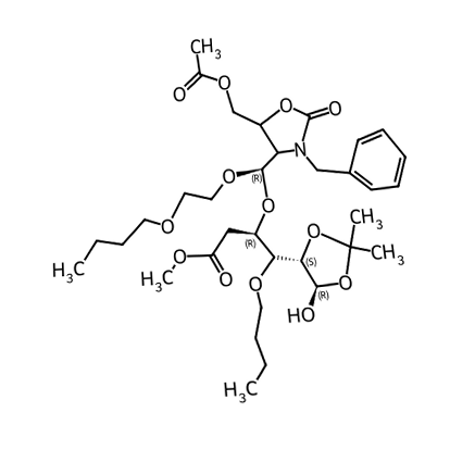 CCCCOCCO[C@H](O[C@H](CC(=O)OC)C(OCCCC)[C@@H]1OC(C)(C)O[C@H]1O)C1C(COC(C)=O)OC(=O)N1Cc1ccccc1